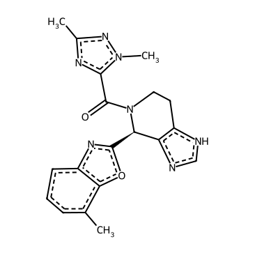 Cc1nc(C(=O)N2CCc3[nH]cnc3[C@H]2c2nc3cccc(C)c3o2)n(C)n1